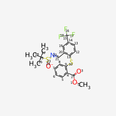 COC(=O)c1ccccc1Sc1ccc(C(F)(F)F)cc1/C=N/[S+]([O-])C(C)(C)C